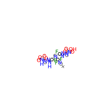 COC(=O)N[C@H](C(=O)N1CCC[C@H]1c1nc2cc([C@H]3CC[C@H](c4cc5nc([C@@H]6CCCN6C(=O)[C@H]([C@@H](C)OC)N(C)C(=O)O)[nH]c5cc4F)N3c3cc(F)c(N4CCC(C(C)(C)C)CC4)c(F)c3)c(F)cc2[nH]1)[C@@H](C)OC